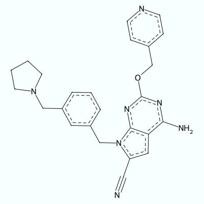 N#Cc1cc2c(N)nc(OCc3ccncc3)nc2n1Cc1cccc(CN2CCCC2)c1